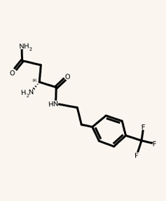 NC(=O)C[C@@H](N)C(=O)NCCc1ccc(C(F)(F)F)cc1